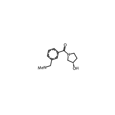 CNCc1cccc(C(=O)N2CC[C@@H](O)C2)c1